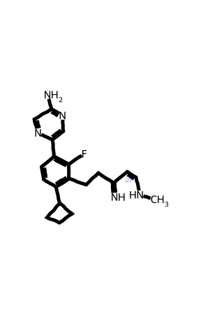 CN/C=C\C(=N)CCc1c(C2CCC2)ccc(-c2cnc(N)cn2)c1F